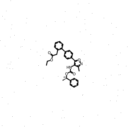 CCOC(=O)Cc1ccccc1-c1ccc(-c2onc(C)c2NC(=O)O[C@H](C)c2ccccc2)cc1